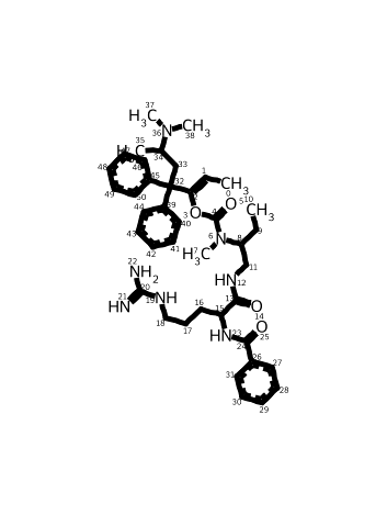 C/C=C(\OC(=O)N(C)C(CC)CNC(=O)C(CCCNC(=N)N)NC(=O)c1ccccc1)C(CC(C)N(C)C)(c1ccccc1)c1ccccc1